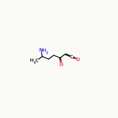 CC(N)CCC(=O)C=C=O